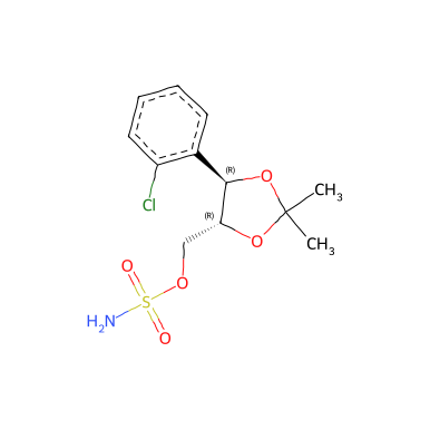 CC1(C)O[C@H](c2ccccc2Cl)[C@@H](COS(N)(=O)=O)O1